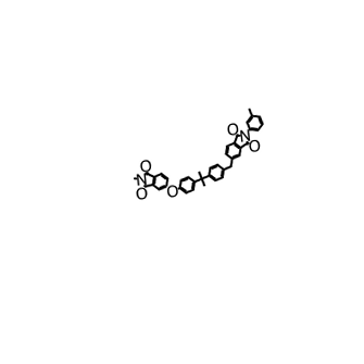 Cc1cccc(N2C(=O)c3ccc(Cc4ccc(C(C)(C)c5ccc(Oc6ccc7c(c6)C(=O)N(C)C7=O)cc5)cc4)cc3C2=O)c1